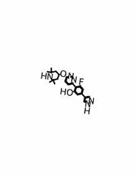 CC1(C)CC(Oc2ccc(-c3c(O)cc(-c4cn[nH]c4)cc3F)nn2)CC(C)(C)N1